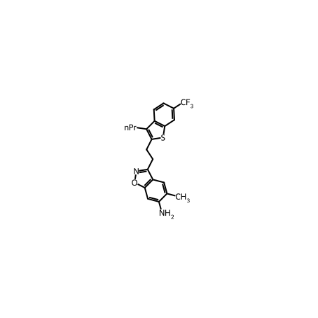 CCCc1c(CCc2noc3cc(N)c(C)cc23)sc2cc(C(F)(F)F)ccc12